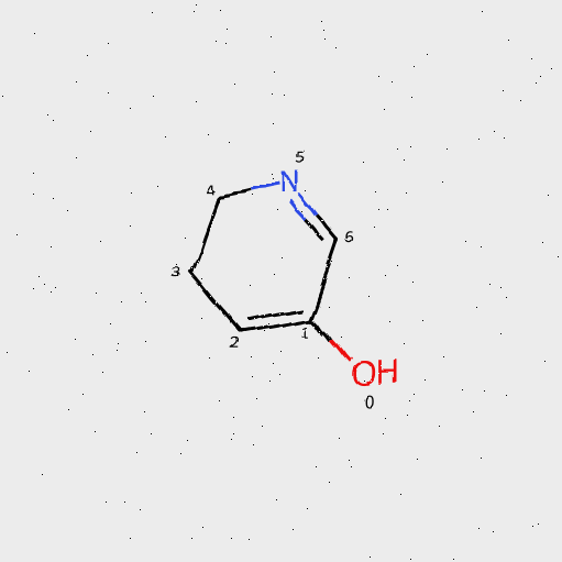 OC1=CCCN=C1